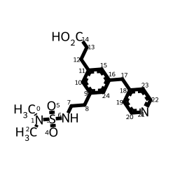 CN(C)S(=O)(=O)NCCc1cc(CCC(=O)O)cc(Cc2ccncc2)c1